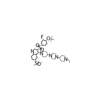 CCN1CCC(N2CCN(C3CCN(c4c(S(=O)(=O)c5ccc(OC(C)(C)C)c(F)c5)cnc5ccc([S+](C)[O-])cc45)CC3)CC2)CC1